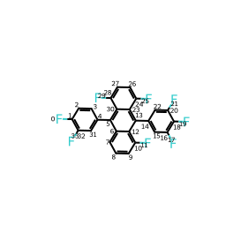 Fc1ccc(-c2c3cccc(F)c3c(-c3cc(F)c(F)c(F)c3)c3c(F)ccc(F)c23)cc1F